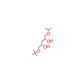 CC(C)OCC(O)CC(O)COC(C)(C)C